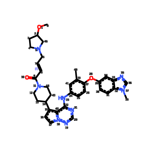 COC1CCN(C/C=C/C(=O)N2CCC(c3ccn4ncnc(Nc5ccc(Oc6ccc7c(c6)ncn7C)c(C)c5)c34)CC2)C1